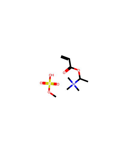 C=CC(=O)OC(C)[N+](C)(C)C.COS(=O)(=O)O